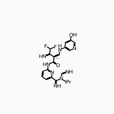 CC(C)N(C=N)C(=N)c1cccc(NC(=O)/C(=C/Nc2cncc(O)c2)C(=N)C(F)F)n1